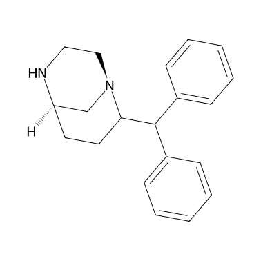 c1ccc(C(c2ccccc2)C2CC[C@@H]3C[N@@]2CCN3)cc1